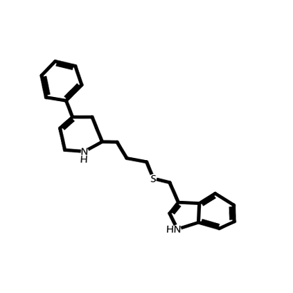 C1=C(c2ccccc2)CC(CCCSCc2c[nH]c3ccccc23)NC1